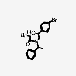 C[C@@H](c1ccccc1)N(C[C@@H](O)c1ccc(Br)cc1)C(=O)CBr